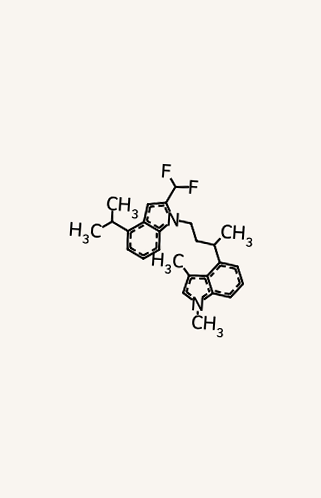 Cc1cn(C)c2cccc(C(C)CCn3c(C(F)F)cc4c(C(C)C)cccc43)c12